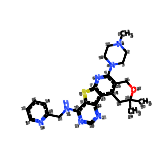 CN1CCN(c2nc3sc4c(NCc5ccccn5)ncnc4c3c3c2COC(C)(C)C3)CC1